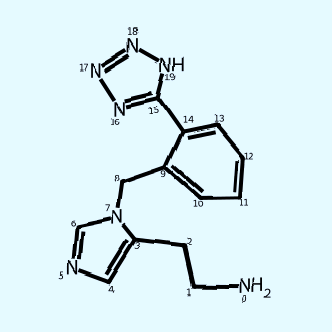 NCCc1cncn1Cc1ccccc1-c1nnn[nH]1